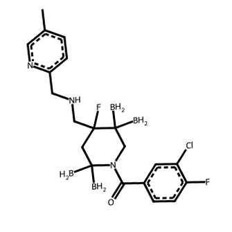 BC1(B)CC(F)(CNCc2ccc(C)cn2)C(B)(B)CN1C(=O)c1ccc(F)c(Cl)c1